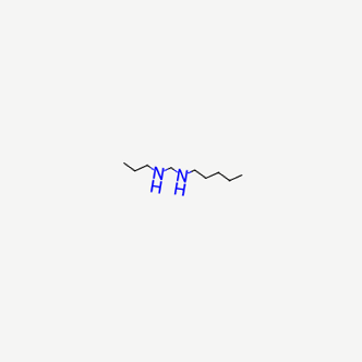 CCCCCNCNCCC